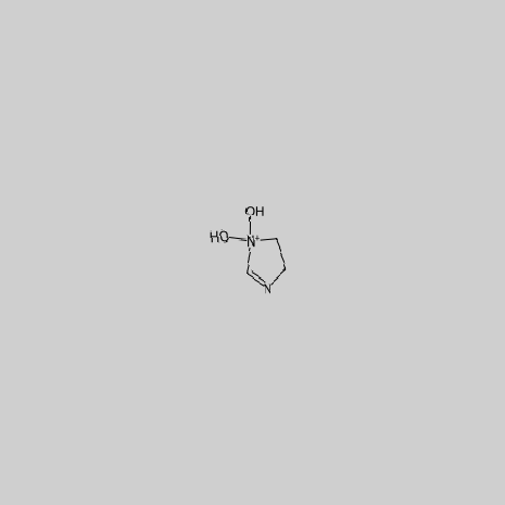 O[N+]1(O)C=NCC1